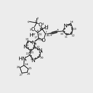 CC1(C)O[C@H]2[C@H](O1)[C@@H](C#Cc1ccccn1)O[C@H]2n1cnc2c(NC3CCCC3)ncnc21